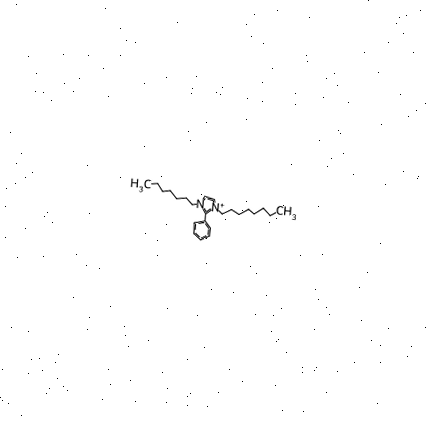 CCCCCCCC[n+]1ccn(CCCCCCC)c1-c1ccccc1